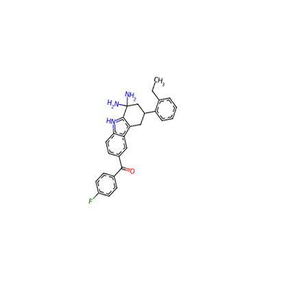 CCc1ccccc1C1Cc2c([nH]c3ccc(C(=O)c4ccc(F)cc4)cc23)C(N)(N)C1